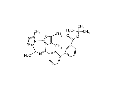 Cc1sc2c(c1C)C(c1cccc(-c3cccc(C(=O)OC(C)(C)C)c3)c1)=NC(C)c1nnc(C)n1-2